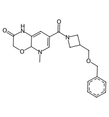 CN1C=C(C(=O)N2CC(COCc3ccccc3)C2)C=C2NC(=O)COC21